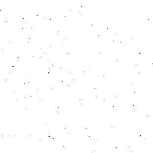 CCCCCC(CC)(CC)C[C]=O